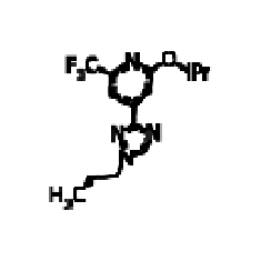 C=CCn1cnc(-c2cc(OC(C)C)nc(C(F)(F)F)c2)n1